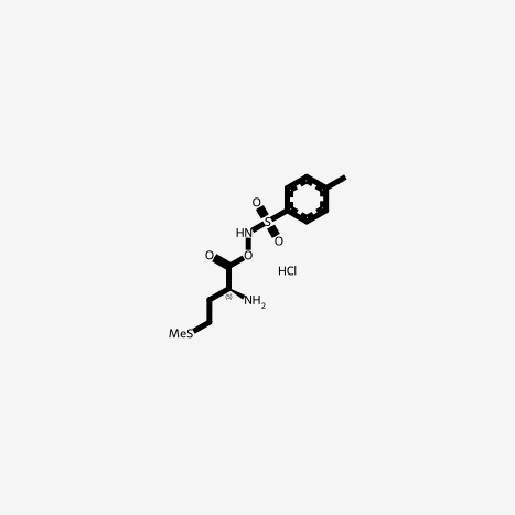 CSCC[C@H](N)C(=O)ONS(=O)(=O)c1ccc(C)cc1.Cl